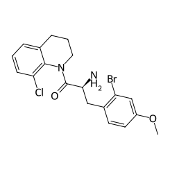 COc1ccc(C[C@H](N)C(=O)N2CCCc3cccc(Cl)c32)c(Br)c1